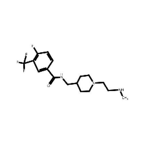 CNCCN1CCC(CNC(=O)c2ccc(F)c(C(F)(F)F)c2)CC1